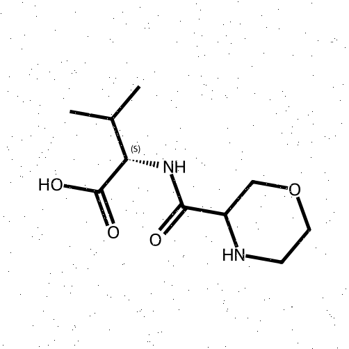 CC(C)[C@H](NC(=O)C1COCCN1)C(=O)O